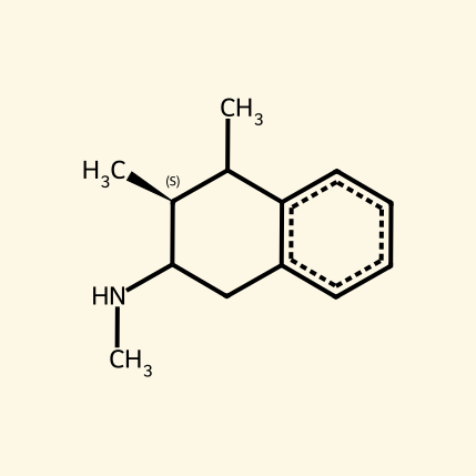 CNC1Cc2ccccc2C(C)[C@@H]1C